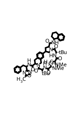 CN[C@@H](C)C(=O)NC(C(=O)N1Cc2cc(C3CC(C(=O)NC4CCCc5ccccc54)N(C(=O)[C@@H](NC(=O)[C@H](C)NC)C(C)(C)C)C3)ccc2CC1C(=O)NC(Cc1ccccc1)c1noc(C)n1)C(C)(C)C